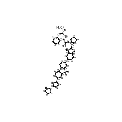 COC(=O)N[C@@H](C(=O)N1C2CCC(C2)[C@H]1c1nc2ccc(-c3ccc4c(c3)C(F)(F)c3cc(-c5cnc([C@@H]6CCCN6)[nH]5)ccc3-4)cc2[nH]1)c1ccccc1